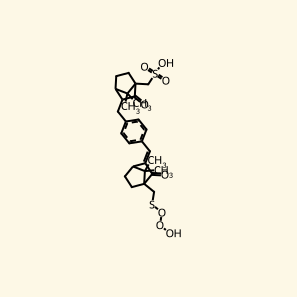 CC1(C)C2CCC1(CSOOO)C(=O)/C2=C/c1ccc(CC2C(=O)C3(CS(=O)(=O)O)CCC2C3(C)C)cc1